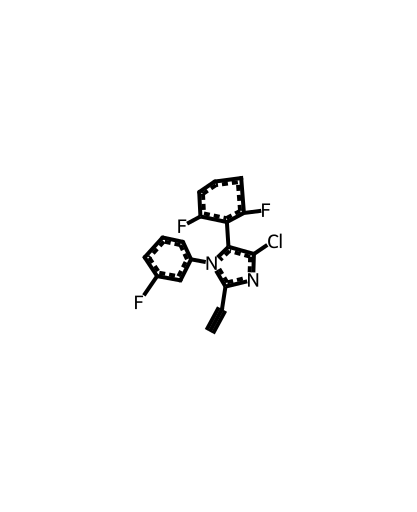 C#Cc1nc(Cl)c(-c2c(F)cccc2F)n1-c1cccc(F)c1